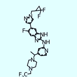 CC(c1ccnc(Nc2nc3cc(F)c(-c4cnn(CC5CC5(F)F)c4)cc3[nH]2)c1)N1CCN(CC(F)(F)F)CC1